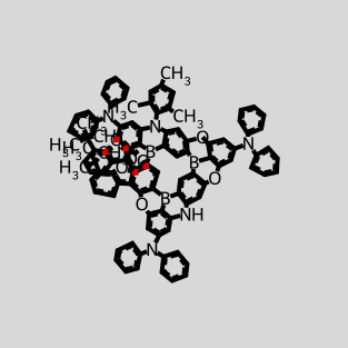 Cc1cc(C)c(N2c3cc4c(cc3B3c5ccc6oc7c(C(C)(C)C)cccc7c6c5Oc5cc(N(c6ccccc6)c6ccccc6)cc2c53)B2c3cc5c(cc3Oc3cc(N(c6ccccc6)c6ccccc6)cc(c32)O4)Nc2cc(N(c3ccccc3)c3ccccc3)cc3c2B5c2ccc4oc5c(C(C)(C)C)cccc5c4c2O3)c(C)c1